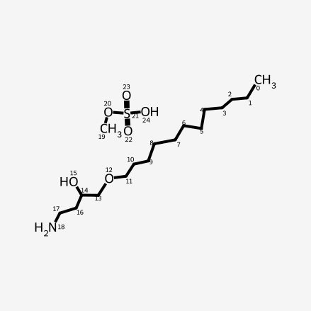 CCCCCCCCCCCCOCC(O)CCN.COS(=O)(=O)O